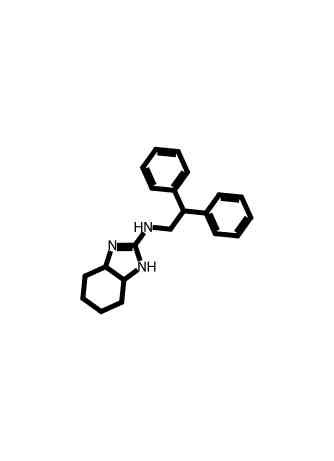 c1ccc(C(CNC2=NC3CCCCC3N2)c2ccccc2)cc1